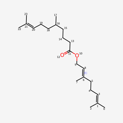 CC(C)=CCC/C(C)=C/COC(=O)CCCC(C)CCC=C(C)C